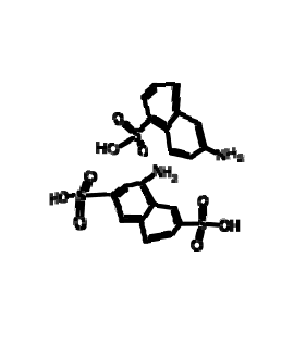 Nc1cc(S(=O)(=O)O)cc2ccc(S(=O)(=O)O)cc12.Nc1ccc2c(S(=O)(=O)O)cccc2c1